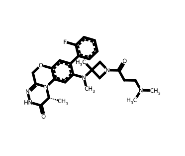 C[C@@H]1C(=O)NN=C2COc3cc(-c4ccccc4F)c(N(C)C4(C)CN(C(=O)CCN(C)C)C4)cc3N21